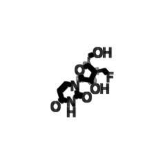 O=c1ccn([C@@H]2O[C@H](CO)[C@@H](CF)[C@H]2O)c(=O)[nH]1